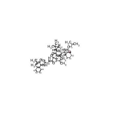 CC(C)COC(=O)N[C@H](C(=O)N1C[C@H]2[C@H]([C@H]1C(=O)N[C@@H](CC(C)C)C(=O)C(=O)NCC(=O)N[C@H](C(=O)N(C)C)c1ccccc1)C2(C)C)C1(C)CCCCC1